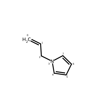 C=CCn1c[c]cc1